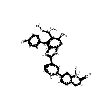 CC(=O)[C@@H](OC(C)(C)C)c1c(C)cc2nc(-c3ccnc(-c4ccc5ccc(=O)n(C)c5c4)c3)sc2c1-c1ccc(Cl)cc1